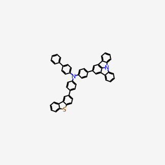 c1ccc(-c2ccc(N(c3ccc(-c4ccc5sc6ccccc6c5c4)cc3)c3ccc(-c4cc5c6ccccc6n6c7ccccc7c(c4)c56)cc3)cc2)cc1